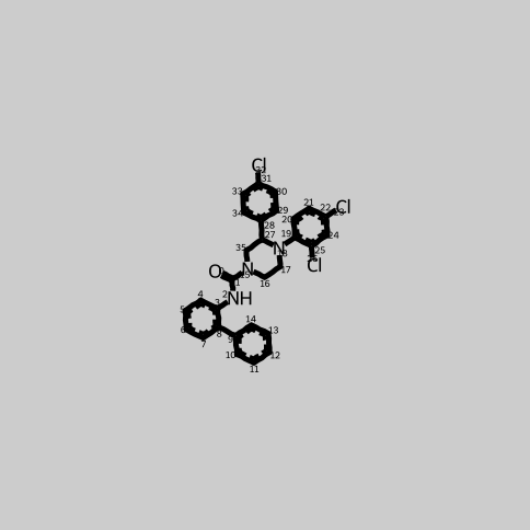 O=C(Nc1ccccc1-c1ccccc1)N1CCN(c2ccc(Cl)cc2Cl)C(c2ccc(Cl)cc2)C1